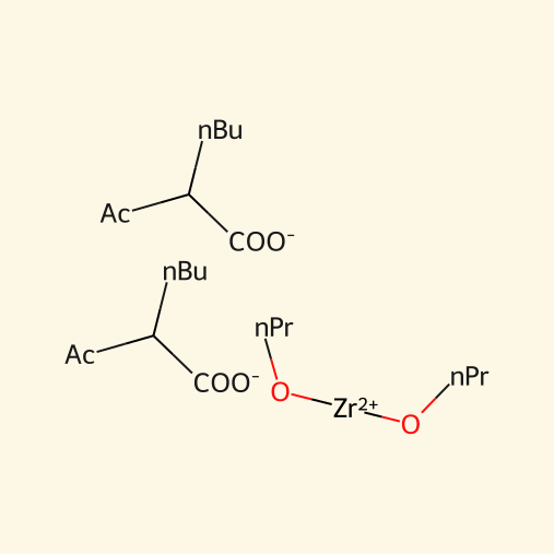 CCCCC(C(C)=O)C(=O)[O-].CCCCC(C(C)=O)C(=O)[O-].CCC[O][Zr+2][O]CCC